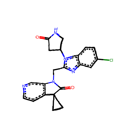 O=C1CC(n2c(CN3C(=O)C4(CC4)c4ccncc43)nc3cc(Cl)ccc32)CN1